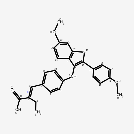 CC/C(=C\c1ccc(Nc2c(-c3ccc(OC)cc3)sc3cc(OC)ccc23)cc1)C(=O)O